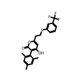 Cc1cc(C)c(-c2c(O)cc(CCSc3cccc(C(F)(F)F)c3)oc2=O)c(C)c1